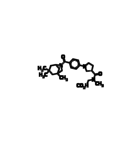 CN(CC(=O)O)C(=O)C1CCN(c2ccc(C(=O)N3CC4(C)CC3CC(C)(C)C4)cc2)C1